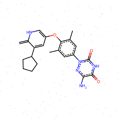 C=C1NC=C(Oc2c(C)cc(-n3nc(N)c(=O)[nH]c3=O)cc2C)C=C1C1CCCC1